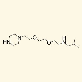 CC(C)CNCCOCCOCCN1CCNCC1